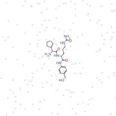 NC(=O)NCCC[C@H](NC(=O)[C@@H](N)C1CCCC1)C(=O)Nc1ccc(CO)cc1